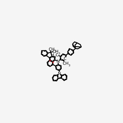 Cc1cc(-c2ccc(C34CC5CC(CC(C5)C3)C4)cc2)cc(C)c1N(c1ccc2c(c1)C(C)(C)c1ccccc1-2)c1ccc(-n2c3ccccc3c3ccccc32)cc1-c1ccccc1